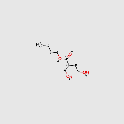 CCCCOC(=O)C(CO)CCO